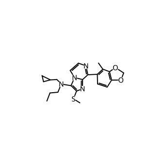 CCCN(CC1CC1)c1c(SC)nc2c(-c3ccc4c(c3C)OCO4)nccn12